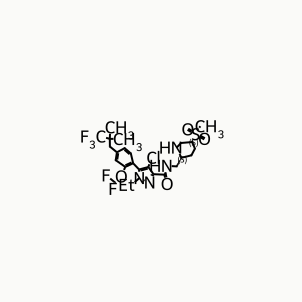 CCn1nc(C(=O)NC[C@@H]2CC[C@H](S(C)(=O)=O)CN2)c(Cl)c1-c1ccc(CC(C)(C)C(F)(F)F)cc1OC(F)F